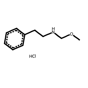 COCNCCc1ccccc1.Cl